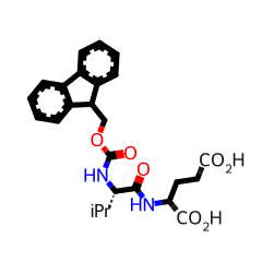 CC(C)[C@H](NC(=O)OCC1c2ccccc2-c2ccccc21)C(=O)NC(CCC(=O)O)C(=O)O